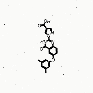 Cc1cc(C)cc(Oc2ccc3nc(-n4cc(C(=O)O)cn4)[nH]c(=O)c3c2)c1